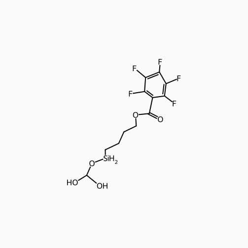 O=C(OCCCC[SiH2]OC(O)O)c1c(F)c(F)c(F)c(F)c1F